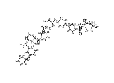 Nc1ncnc2c1c(-c1ccc(Oc3ccccc3)cc1)nn2C1CCCN(CC2CCN(CC3CCN(c4ccc5c(c4)CN(C4CCC(=O)NC4=O)C5=O)CC3)CC2)C1